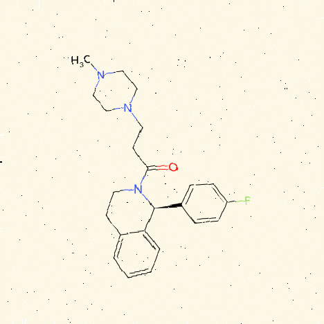 CN1CCN(CCC(=O)N2CCc3ccccc3[C@@H]2c2ccc(F)cc2)CC1